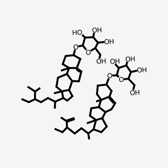 C=C(C)C(CC)CCC(C)C1CCC2C3CC=C4CC(OC5OC(CO)C(O)C(O)C5O)CCC4(C)C3CCC12C.CCC(CCC(C)C1CCC2C3CC=C4CC(OC5OC(CO)C(O)C(O)C5O)CCC4(C)C3CCC12C)C(C)C